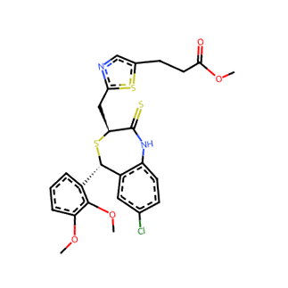 COC(=O)CCc1cnc(C[C@@H]2S[C@@H](c3cccc(OC)c3OC)c3cc(Cl)ccc3NC2=S)s1